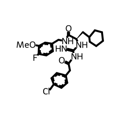 COc1cc(CNC(=O)[C@@H](CC2CCCCC2)NC(=N)NC(=O)Cc2ccc(Cl)cc2)ccc1F